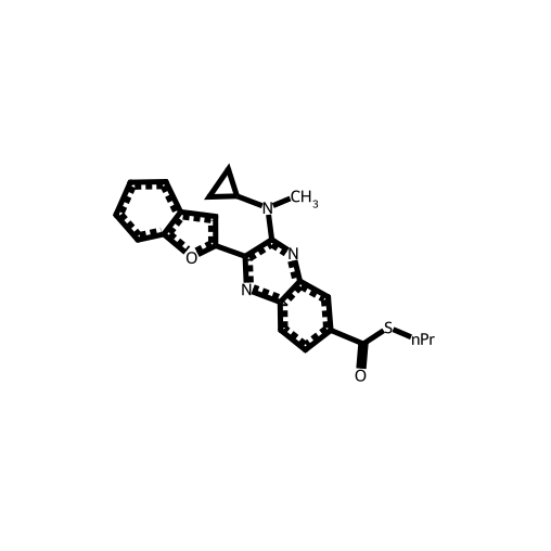 CCCSC(=O)c1ccc2nc(-c3cc4ccccc4o3)c(N(C)C3CC3)nc2c1